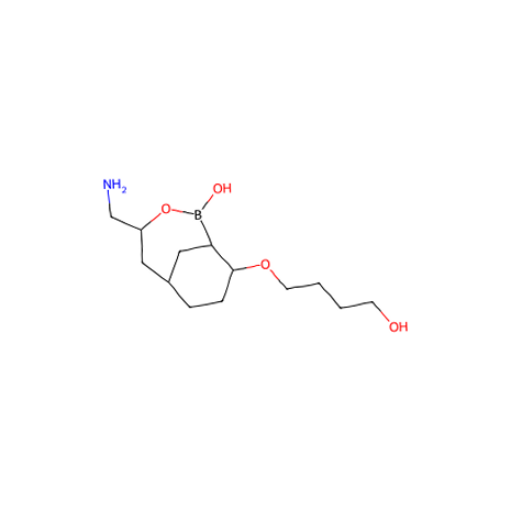 NCC1CC2CCC(OCCCCO)C(C2)B(O)O1